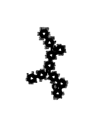 c1ccc(-c2ccc(N(c3ccc(-c4ccc5c(c4)c4ccccc4n5-c4ccc(-c5ccccc5)cc4)cc3)c3ccc(-c4cccc5c4oc4ccccc45)cc3)cc2)cc1